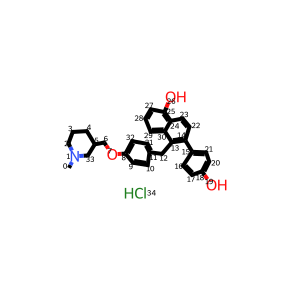 CN1CCCC(COc2ccc(Cc3c(-c4ccc(O)cc4)ccc4c(O)cccc34)cc2)C1.Cl